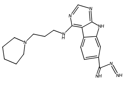 N=NC(=N)c1ccc2c(c1)[nH]c1ncnc(NCCCN3CCCCC3)c12